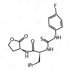 CC(C)C[C@H](NC(=S)Nc1ccc(F)cc1)C(=O)N[C@H]1CCOC1=O